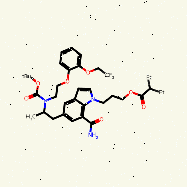 CCC(CC)C(=O)OCCCn1ccc2cc(CC(C)N(CCOc3ccccc3OCC(F)(F)F)C(=O)OC(C)(C)C)cc(C(N)=O)c21